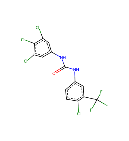 O=C(Nc1cc(Cl)c(Cl)c(Cl)c1)Nc1ccc(Cl)c(C(F)(F)F)c1